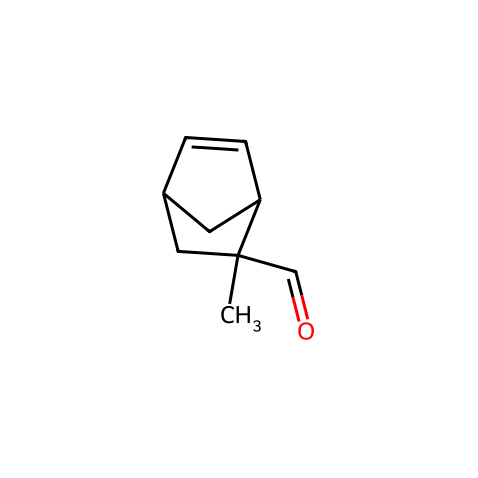 CC1(C=O)CC2C=CC1C2